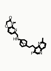 Cc1ccc2ncc(F)c(CCC34CCC(NCc5ccc6c(n5)N(C)C(=O)CO6)(CC3)CO4)c2n1